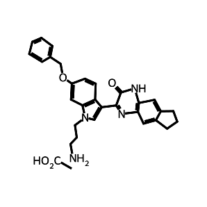 CC(=O)O.NCCCn1cc(-c2nc3cc4c(cc3[nH]c2=O)CCC4)c2ccc(OCc3ccccc3)cc21